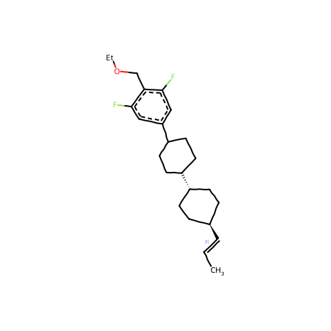 C/C=C/[C@H]1CC[C@H](C2CCC(c3cc(F)c(COCC)c(F)c3)CC2)CC1